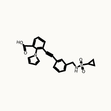 O=C(O)c1cccc(C#Cc2cccc(CNS(=O)(=O)C3CC3)c2)c1-n1cccc1